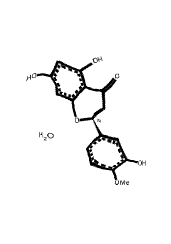 COc1ccc([C@@H]2CC(=O)c3c(O)cc(O)cc3O2)cc1O.O